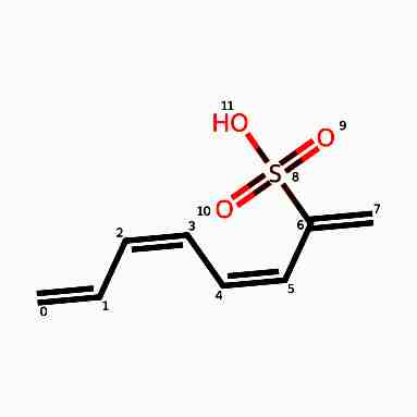 C=C/C=C\C=C/C(=C)S(=O)(=O)O